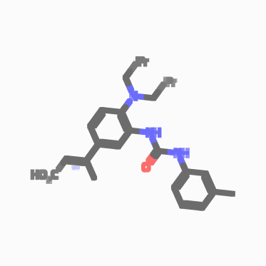 C/C(=C\C(=O)O)c1ccc(N(CC(C)C)CC(C)C)c(NC(=O)Nc2cccc(C)c2)c1